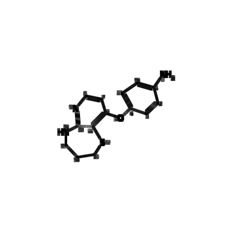 Nc1ccc(Oc2ccnc3c2SCCCN3)cc1